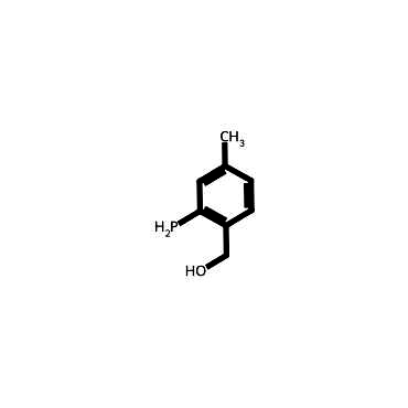 Cc1ccc(CO)c(P)c1